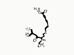 CCNC(CCSCCC#CC#CC(=O)OP)C(=O)CC(CC)CO